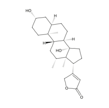 C[C@@H]1C[C@H]2[C@@H](CC[C@@H]3C[C@@H](O)CC[C@@]32C)[C@@]2(O)CC[C@H](C3=CC(=O)OC3)[C@@]12C